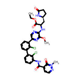 CCOC(=O)C(C[C@@H]1CCC(=O)N1)Nc1ncc(-c2cccc(-c3cccc(NC(=O)c4ccnn(C)c4=O)c3Cl)c2Cl)nc1OC